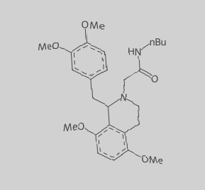 CCCCNC(=O)CN1CCc2c(OC)ccc(OC)c2C1Cc1ccc(OC)c(OC)c1